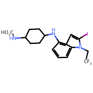 O=C(O)NC1CCC(Nc2cccc3c2cc(I)n3CC(F)(F)F)CC1